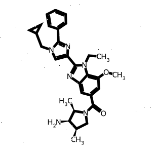 CCn1c(-c2cn(CC3CC3)c(-c3ccccc3)n2)nc2cc(C(=O)N3C[C@@H](C)[C@@H](N)[C@H]3C)cc(OC)c21